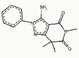 CN1C(=O)c2c(nn(-c3ccccc3)c2N)C(C)(C)C1=O